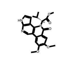 COC(=O)[C@@H](C(C)C)n1c(=O)c2cc(OC)c(OC)cc2c2cnc3[nH]ccc3c21